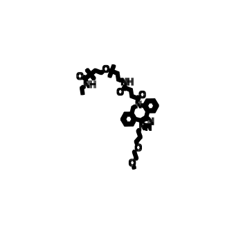 CCNC(=O)C(C)(C)CCOC(C)(C)CCNC(=O)CCC(=O)N1Cc2ccccc2-c2c(nnn2CCCOCCOC)-c2ccccc21